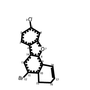 Clc1ccc2c(c1)oc1c3c(c(Br)cc12)CCC=C3